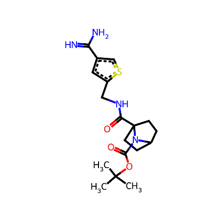 CC(C)(C)OC(=O)N1C2CCC1(C(=O)NCc1cc(C(=N)N)cs1)CC2